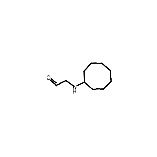 O=[C]CNC1CCCCCCC1